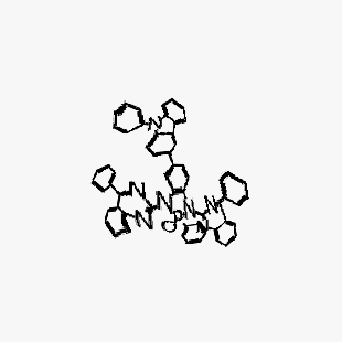 O=P1(c2ccccc2)N(c2nc(-c3ccccc3)c3ccccc3n2)c2ccc(-c3ccc4c(c3)c3ccccc3n4-c3ccccc3)cc2N1c1nc(-c2ccccc2)c2ccccc2n1